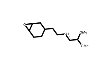 COC(C[SiH2]CCC1CCC2OC2C1)OC